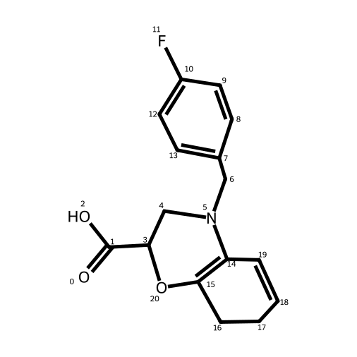 O=C(O)C1CN(Cc2ccc(F)cc2)C2=C(CCC=C2)O1